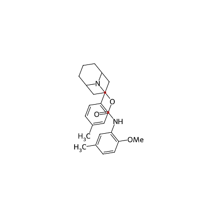 COc1ccc(C)cc1NC(=O)OC1CC2CCCC(C1)N2Cc1ccc(C)cc1